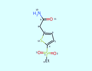 CCS(=O)(=O)c1ccc(CC(N)=O)s1